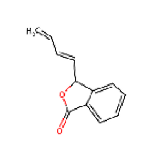 C=CC=CC1OC(=O)c2ccccc21